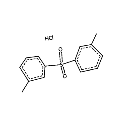 Cc1cccc(S(=O)(=O)c2cccc(C)c2)c1.Cl